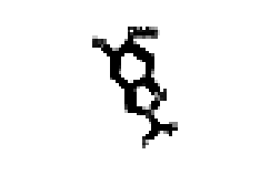 COc1cc2nn(C(F)F)cc2cc1Br